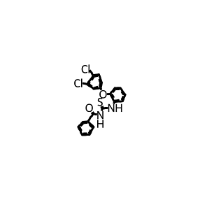 O=C(NC(=S)Nc1ccccc1Oc1ccc(Cl)c(Cl)c1)c1ccccc1